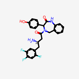 N[C@@H](CC(=O)N1Cc2ccccc2NC(=O)C1c1ccc(O)cc1)Cc1cc(F)c(F)cc1F